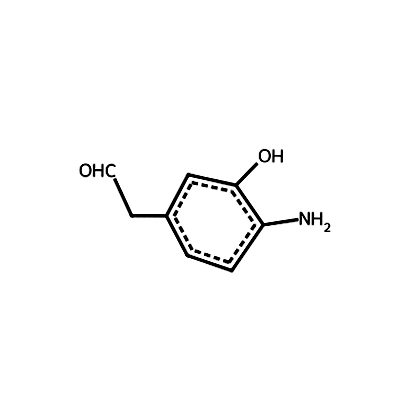 Nc1ccc(CC=O)cc1O